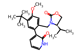 COc1cc(CN2C(=O)OC[C@H]2C(C)C)c(-c2ccc[nH]c2=O)cc1C(C)(C)C